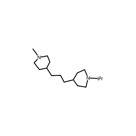 CC(C)N1CCC(CCCC2CCN(C)CC2)CC1